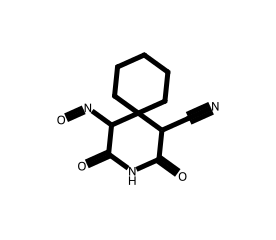 N#CC1C(=O)NC(=O)C(N=O)C12CCCCC2